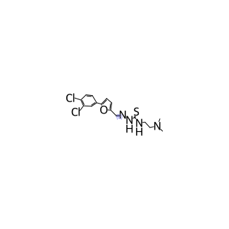 CN(C)CCNC(=S)N/N=C/c1ccc(-c2ccc(Cl)c(Cl)c2)o1